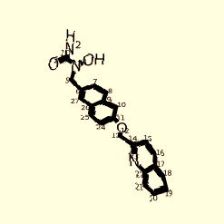 NC(=O)N(O)Cc1ccc2cc(OCc3ccc4ccccc4n3)ccc2c1